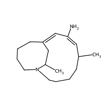 CC1/C=C(N)\C=C2\CCCCN(CCCC1)C(C)C2